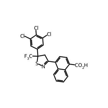 O=C(O)c1ccc(C2=NSC(c3cc(Cl)c(Cl)c(Cl)c3)(C(F)(F)F)C2)c2ccccc12